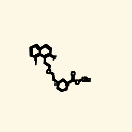 CC(C)(C)OC(=O)N1CCC[C@@H](CCOCCc2c(F)ccc3cccc(I)c23)C1